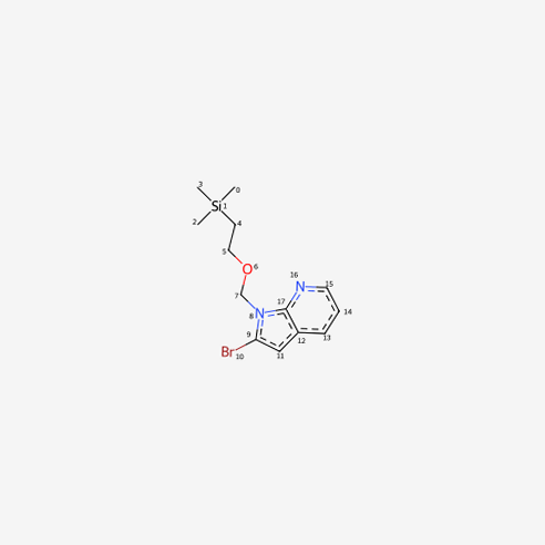 C[Si](C)(C)CCOCn1c(Br)cc2cccnc21